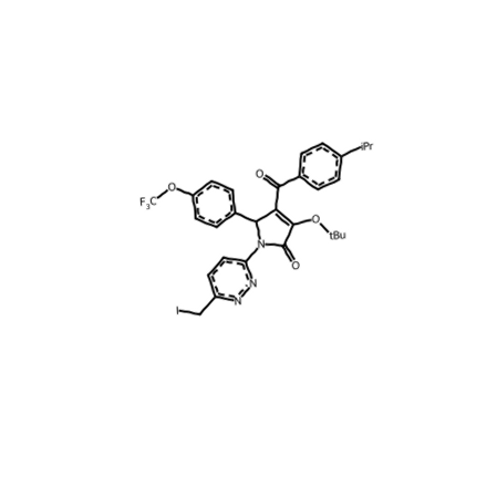 CC(C)c1ccc(C(=O)C2=C(OC(C)(C)C)C(=O)N(c3ccc(CI)nn3)C2c2ccc(OC(F)(F)F)cc2)cc1